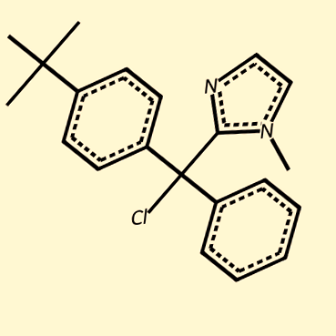 Cn1ccnc1C(Cl)(c1ccccc1)c1ccc(C(C)(C)C)cc1